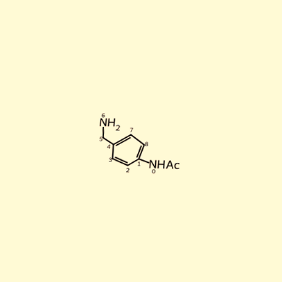 CC(=O)Nc1ccc(CN)cc1